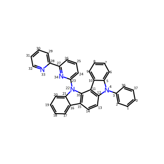 c1ccc(-n2c3ccccc3c3c2ccc2c4ccccc4n(-c4cccc(-c5ccccn5)n4)c23)cc1